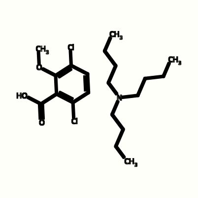 CCCCN(CCCC)CCCC.COc1c(Cl)ccc(Cl)c1C(=O)O